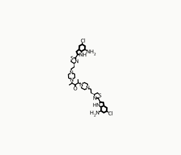 CC(C(=O)C(C)N1CCN(CC[C@H]2CSC(c3cc4cc(Cl)cc(N)c4[nH]3)=N2)CC1)N1CCN(CC[C@H]2CSC(c3cc4cc(Cl)cc(N)c4[nH]3)=N2)CC1